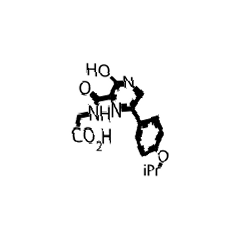 CC(C)Oc1ccc(-c2cnc(O)c(C(=O)NCC(=O)O)n2)cc1